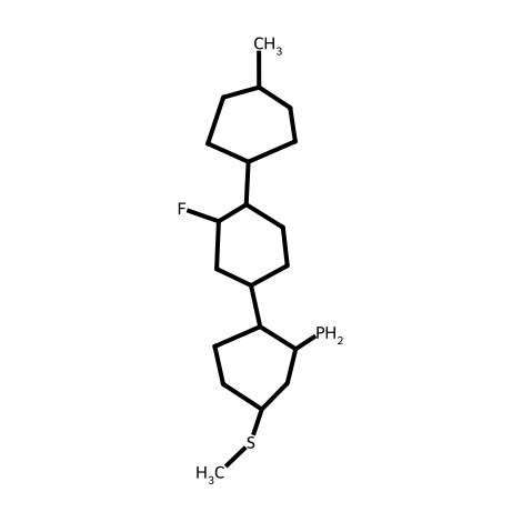 CSC1CCC(C2CCC(C3CCC(C)CC3)C(F)C2)C(P)C1